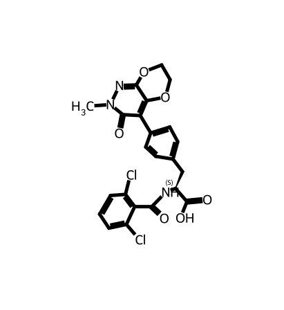 Cn1nc2c(c(-c3ccc(C[C@H](NC(=O)c4c(Cl)cccc4Cl)C(=O)O)cc3)c1=O)OCCO2